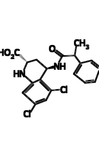 CC(C(=O)N[C@@H]1C[C@@H](C(=O)O)Nc2cc(Cl)cc(Cl)c21)c1ccccc1